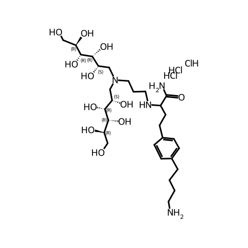 Cl.Cl.Cl.NCCCCc1ccc(CCC(NCCCN(C[C@H](O)[C@@H](O)[C@H](O)[C@H](O)CO)C[C@H](O)[C@@H](O)[C@H](O)[C@H](O)CO)C(N)=O)cc1